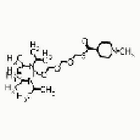 CC(C)N(C(C)C)P(OCOCOCSC(=O)C1CCN(C)CC1)N(C(C)C)C(C)C